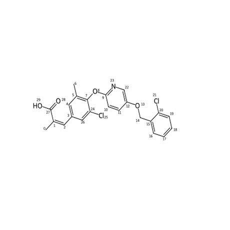 CC(=Cc1cc(C)c(Oc2ccc(OCc3ccccc3Cl)cn2)c(Cl)c1)C(=O)O